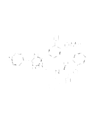 CCC(Oc1ccccc1)C(=O)N(CCn1nc(-c2ccncc2)nc1-c1ccc(OC)c(Cl)c1)C1CCCC1